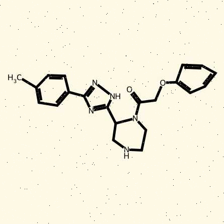 Cc1ccc(-c2n[nH]c(C3CNCCN3C(=O)COc3ccccc3)n2)cc1